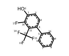 Oc1ccc(-c2ccccc2)c(C(F)(F)F)c1F